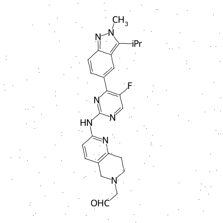 CC(C)c1c2cc(-c3nc(Nc4ccc5c(n4)CCN(CC=O)C5)ncc3F)ccc2nn1C